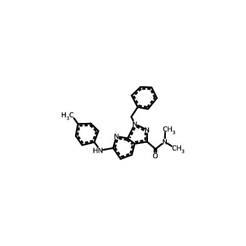 Cc1ccc(Nc2ccc3c(C(=O)N(C)C)nn(Cc4ccccc4)c3n2)cc1